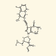 C=CC(=O)N1C[C@@H](n2nc(C#Cc3cc4nccc(C)c4cc3Cl)c(C(N)=O)c2NC)C[C@@H]1COC